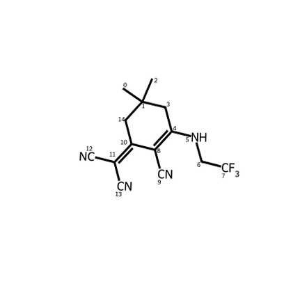 CC1(C)CC(NCC(F)(F)F)=C(C#N)C(=C(C#N)C#N)C1